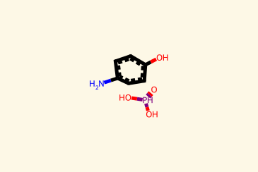 Nc1ccc(O)cc1.O=[PH](O)O